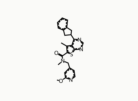 COc1cc(CN(C)C(=O)c2sc3ncnc(C4Cc5ccccc5C4)c3c2C)ccn1